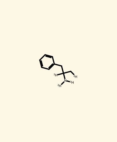 [2H]CC([2H])(Cc1ccccc1)N([2H])[2H]